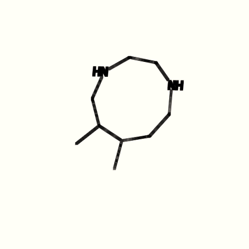 CC1CCNCCNCC1C